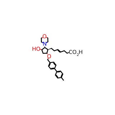 Cc1ccc(-c2ccc(CO[C@H]3C[C@@H](O)[C@H](N4CCOCC4)[C@H]3CCC=CCCC(=O)O)cc2)cc1